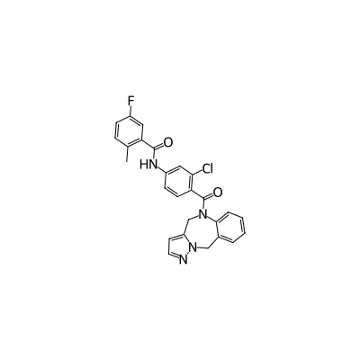 Cc1ccc(F)cc1C(=O)Nc1ccc(C(=O)N2Cc3ccnn3Cc3ccccc32)c(Cl)c1